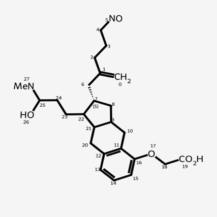 C=C(CCCN=O)C[C@@H]1CC2Cc3c(cccc3OCC(=O)O)CC2C1CCC(O)NC